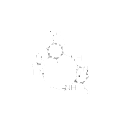 O=[N+]([O-])c1cc2cc(c1)S(=O)(=O)NCCCNc1nc(ncc1Br)N2